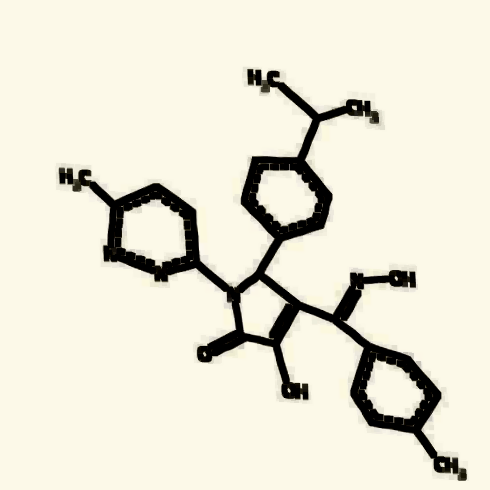 Cc1ccc(C(=NO)C2=C(O)C(=O)N(c3ccc(C)nn3)C2c2ccc(C(C)C)cc2)cc1